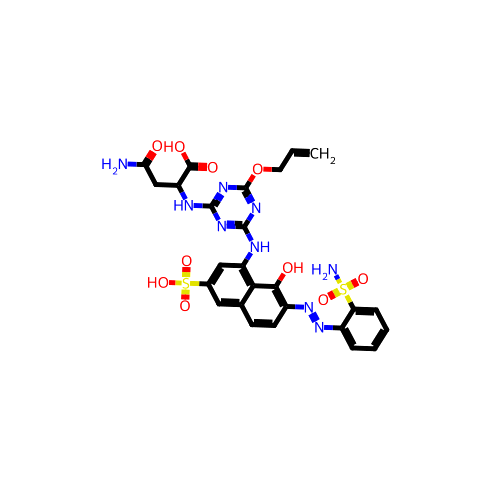 C=CCOc1nc(Nc2cc(S(=O)(=O)O)cc3ccc(N=Nc4ccccc4S(N)(=O)=O)c(O)c23)nc(NC(CC(N)=O)C(=O)O)n1